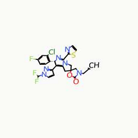 C#CCN1CC2(CC3=C(c4ccn(C(F)F)n4)[C@H](c4ccc(F)cc4Cl)N=C(c4nccs4)N3C2)OC1=O